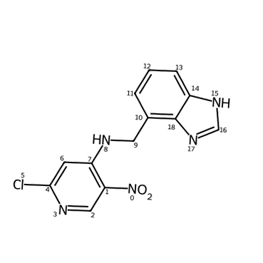 O=[N+]([O-])c1cnc(Cl)cc1NCc1cccc2[nH]cnc12